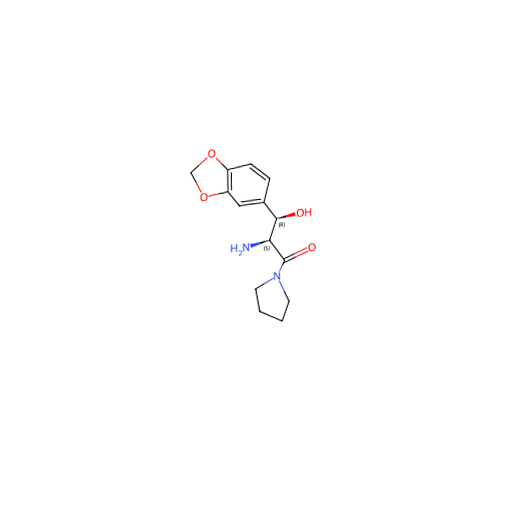 N[C@H](C(=O)N1CCCC1)[C@H](O)c1ccc2c(c1)OCO2